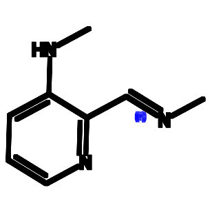 C/N=C/c1ncccc1NC